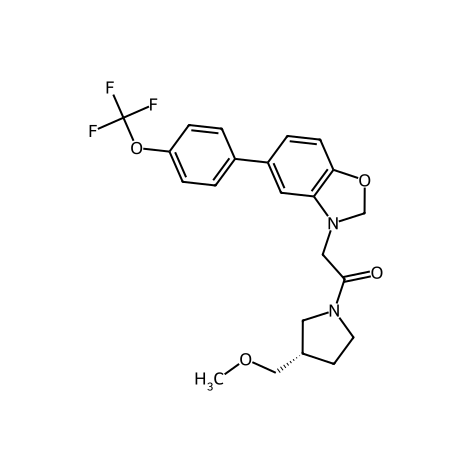 COC[C@H]1CCN(C(=O)CN2COc3ccc(-c4ccc(OC(F)(F)F)cc4)cc32)C1